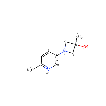 Cc1ccc(N2CC(C)(O)C2)cn1